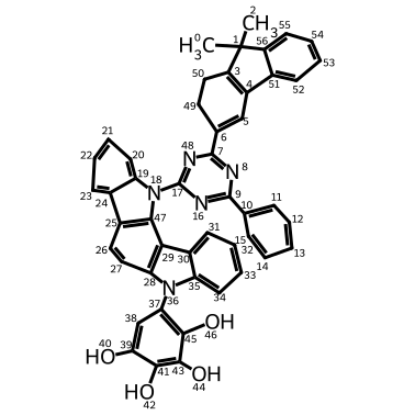 CC1(C)C2=C(C=C(c3nc(-c4ccccc4)nc(-n4c5ccccc5c5ccc6c(c7ccccc7n6-c6cc(O)c(O)c(O)c6O)c54)n3)CC2)c2ccccc21